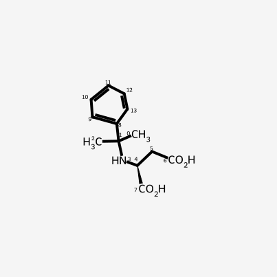 CC(C)(N[C@@H](CC(=O)O)C(=O)O)c1ccccc1